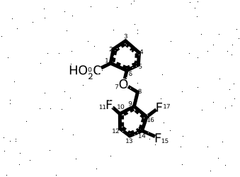 O=C(O)c1ccccc1OCc1c(F)ccc(F)c1F